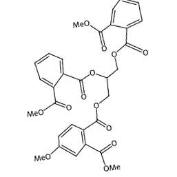 COC(=O)c1ccccc1C(=O)OCC(COC(=O)c1ccc(OC)cc1C(=O)OC)OC(=O)c1ccccc1C(=O)OC